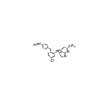 CC(=O)Nc1ccc(Sc2ccc(Cl)cc2Nc2ccnc3nc(C)ccc23)cc1